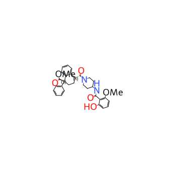 COC(=O)[C@]1(c2ccccc2)CC[C@@H](C(=O)N2CCC(NC(=O)c3c(O)cccc3OC)CC2)c2ccccc21